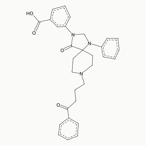 O=C(O)c1cccc(N2CN(c3ccccc3)C3(CCN(CCCC(=O)c4ccccc4)CC3)C2=O)c1